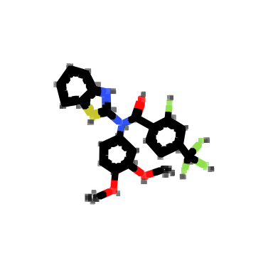 COc1ccc(N(C(=O)c2ccc(C(F)(F)F)cc2F)c2nc3ccccc3s2)cc1OC